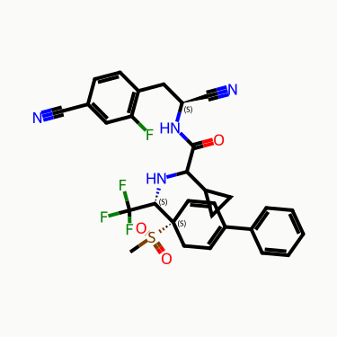 CS(=O)(=O)[C@]1([C@@H](NC(C(=O)N[C@H](C#N)Cc2ccc(C#N)cc2F)C2CC2)C(F)(F)F)C=CC(c2ccccc2)=CC1